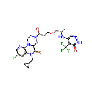 CC(COCCC(=O)N1CCN2c3ncc(F)cc3N(CC3CC3)C(=S)C2C1)Nc1cn[nH]c(=O)c1C(F)(F)F